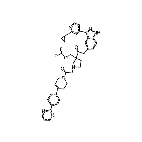 O=C(CN1CCC(COC(F)F)(C(=O)Cc2ccc3[nH]nc(-c4ccnc(C5CC5)c4)c3c2)C1)N1CC=C(c2ccc(-c3ncccn3)cc2)CC1